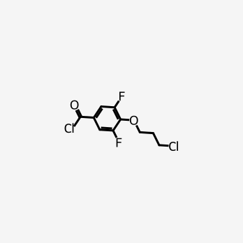 O=C(Cl)c1cc(F)c(OCCCCl)c(F)c1